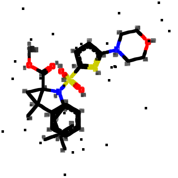 CC(C)(C)OC(=O)C1(N(CC[Si](C)(C)C)S(=O)(=O)c2ccc(N3CCOCC3)s2)CC1(C)c1ccccc1